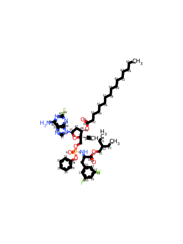 C#C[C@]1(CO[P@@](=O)(NC(Cc2cc(F)cc(F)c2)C(=O)OCC(CC)CC)Oc2ccccc2)O[C@@H](n2cnc3c(N)nc(F)nc32)C[C@@H]1OC(=O)CCCCCCCCCCCCCCC